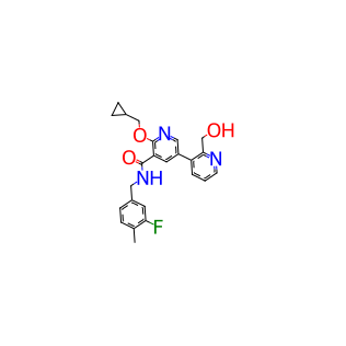 Cc1ccc(CNC(=O)c2cc(-c3cccnc3CO)cnc2OCC2CC2)cc1F